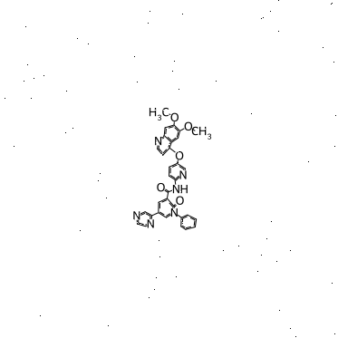 COc1cc2nccc(Oc3ccc(NC(=O)c4cc(-c5cnccn5)cn(-c5ccccc5)c4=O)nc3)c2cc1OC